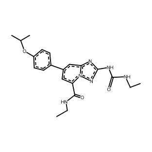 CCNC(=O)Nc1nc2cc(-c3ccc(OC(C)C)cc3)cc(C(=O)NCC)n2n1